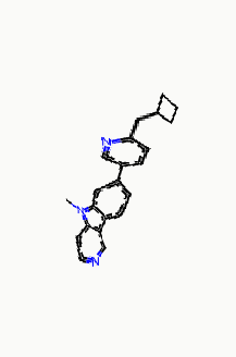 Cn1c2ccncc2c2ccc(-c3ccc(CC4CCC4)nc3)cc21